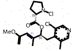 C=C(/C=C(\C)[C@H](Cc1c(C)cncc1Cl)OC(=O)[C@@H]1CCCN1Cl)OC